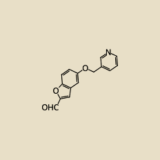 O=Cc1cc2cc(OCc3cccnc3)ccc2o1